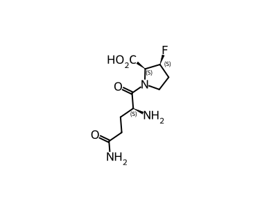 NC(=O)CC[C@H](N)C(=O)N1CC[C@H](F)[C@@H]1C(=O)O